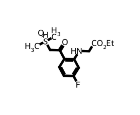 CCOC(=O)CNc1cc(F)ccc1C(=O)C[SH](C)(C)=O